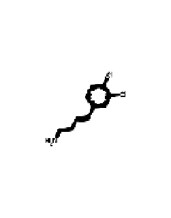 NCC/C=C/c1ccc(Cl)c(Cl)c1